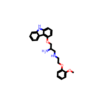 COc1ccccc1OCCNCC(N)COc1cccc2[nH]c3ccccc3c12